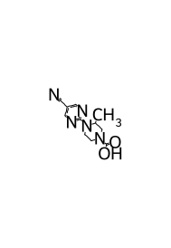 CC1CN(C(=O)O)CCN1c1ncc(C#N)cn1